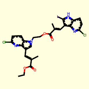 CCOC(=O)/C(C)=C/c1cn(CCOC(=O)/C(C)=C/c2c(I)[nH]c3ccc(Cl)nc23)c2ccc(Cl)nc12